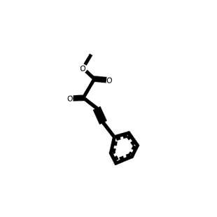 COC(=O)C(=O)C#Cc1ccccc1